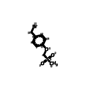 CS(=O)(=O)COc1ccc(CBr)cc1